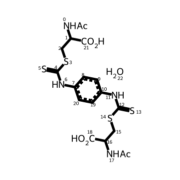 CC(=O)NC(CSC(=S)Nc1ccc(NC(=S)SCC(NC(C)=O)C(=O)O)cc1)C(=O)O.O